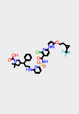 CC1(C)CC(C(CCNc2cccc(S(=O)(=O)NC(=O)c3ccc(-n4ccc(OCCC5CC5C(F)(F)F)n4)nc3Cl)n2)c2ccccc2)CN1C(=O)O